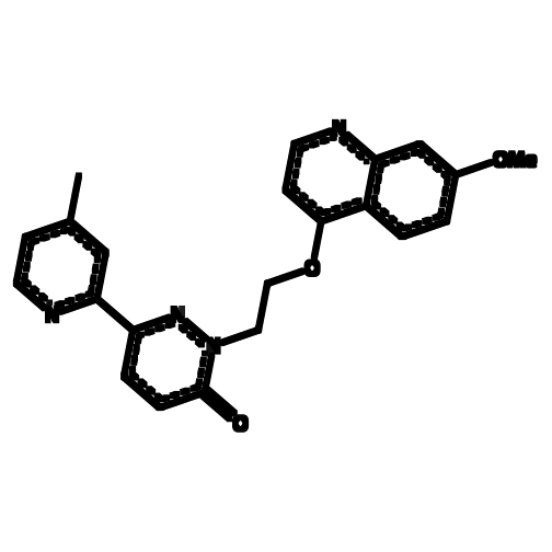 COc1ccc2c(OCCn3nc(-c4cc(C)ccn4)ccc3=O)ccnc2c1